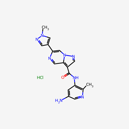 Cc1ncc(N)cc1NC(=O)c1cnn2cc(-c3cnn(C)c3)ncc12.Cl